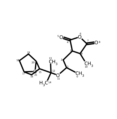 CC(CC1C(=O)OC(=O)C1C)OC(C)(C)C1CC2CCC1O2